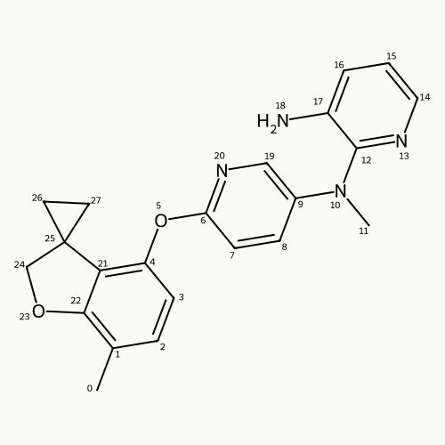 Cc1ccc(Oc2ccc(N(C)c3ncccc3N)cn2)c2c1OCC21CC1